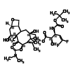 CC1=C2[C@@H](OC(=O)N(C)C)C(=O)[C@@]3(C)C(C[C@](O)(C[C@@H]1OC(=O)[C@H](O)[C@H](C=C(F)F)NC(=O)OC(C)(C)C)C2(C)C)C1CO[C@@H]1C[C@@H]3O